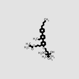 C=C(C)C(=O)OCCCc1cc(-c2ccc(-c3ccc(CCCCC)cc3)cc2CC)ccc1OCCCC(CO)(COC)C(C)(C)C